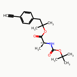 C#Cc1ccc(CC(C)(C)OC(=O)[C@H](C)NC(=O)OC(C)(C)C)cc1